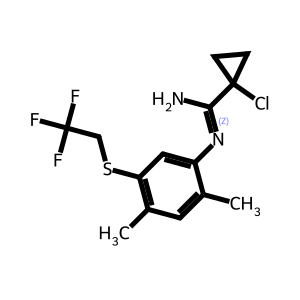 Cc1cc(C)c(SCC(F)(F)F)cc1/N=C(\N)C1(Cl)CC1